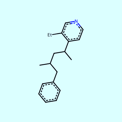 CCc1cnccc1C(C)CC(C)Cc1ccccc1